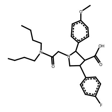 CCCCN(CCCC)C(=O)CN1CC(c2ccc(F)cc2)C(C(=O)O)C1c1ccc(OC)cc1